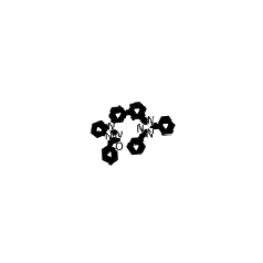 c1ccc(-c2nc(-c3ccccc3)nc(-c3cccc(-c4cccc(-n5c6ccccc6n6c7c(nc56)oc5ccccc57)c4)c3)n2)cc1